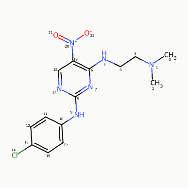 CN(C)CCNc1nc(Nc2ccc(Cl)cc2)ncc1[N+](=O)[O-]